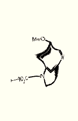 COc1cnc2c(c1)N(C(=O)O)CC2